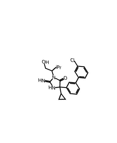 CC(C)C(CO)N1C(=N)NC(c2cccc(-c3cccc(Cl)c3)c2)(C2CC2)C1=O